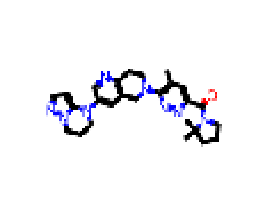 Cc1cc(C(=O)N2CCCC2(C)C)nnc1N1CCc2ncc(N3CCCn4nccc43)cc2C1